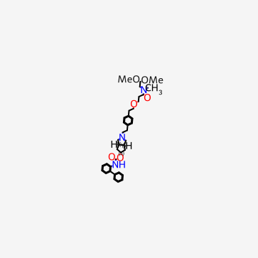 COC(CN(C)C(=O)CCOCCc1ccc(CCN2C[C@H]3C[C@H](OC(=O)Nc4ccccc4-c4ccccc4)C[C@H]3C2)cc1)OC